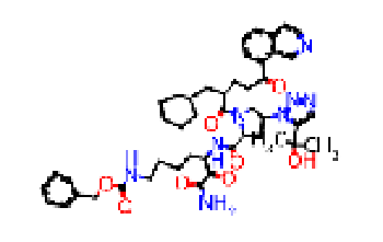 CC(C)(O)c1cnnn1[C@H]1C[C@@H](C(=O)NC(CCCCNC(=O)OCc2ccccc2)C(=O)C(N)=O)N(C(=O)[C@H](CCC(=O)c2cccc3ccncc23)CC2CCCCC2)C1